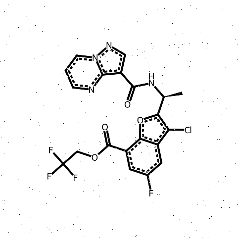 C[C@H](NC(=O)c1cnn2cccnc12)c1oc2c(C(=O)OCC(F)(F)F)cc(F)cc2c1Cl